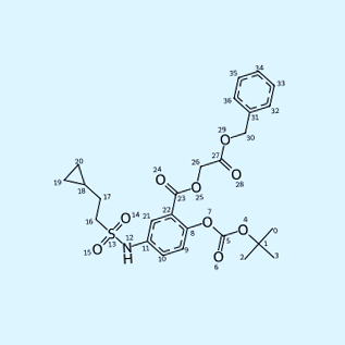 CC(C)(C)OC(=O)Oc1ccc(NS(=O)(=O)CCC2CC2)cc1C(=O)OCC(=O)OCc1ccccc1